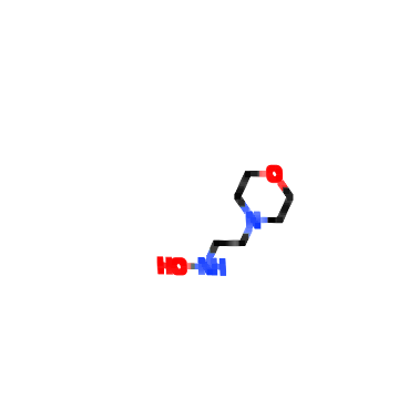 ONCCN1CCOCC1